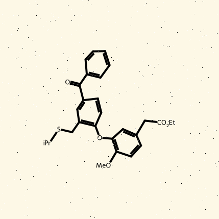 CCOC(=O)Cc1ccc(OC)c(Oc2ccc(C(=O)c3ccccc3)cc2CSC(C)C)c1